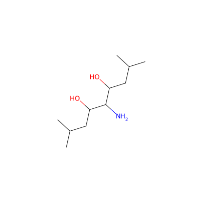 CC(C)CC(O)C(N)C(O)CC(C)C